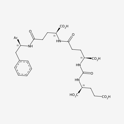 CC(=O)[C@H](Cc1ccccc1)NC(=O)CC[C@H](NC(=O)CC[C@H](NC(=O)N[C@@H](CCC(=O)O)C(=O)O)C(=O)O)C(=O)O